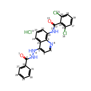 Cl.O=C(NNc1ccnc2c(NC(=O)c3c(Cl)cccc3Cl)cccc12)c1ccccc1